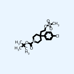 CC(C)(C)OC(=O)N1CCC(CCOS(C)(=O)=O)(c2ccc(Cl)cc2)CC1